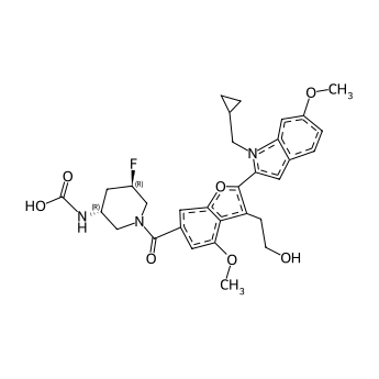 COc1ccc2cc(-c3oc4cc(C(=O)N5C[C@H](F)C[C@@H](NC(=O)O)C5)cc(OC)c4c3CCO)n(CC3CC3)c2c1